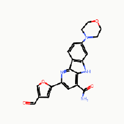 NC(=O)c1cc(-c2cc(C=O)co2)nc2c1[nH]c1cc(N3CCOCC3)ccc12